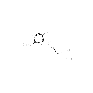 CC(C)(C)Nc1ncc(N)c(NCCCN(C(=O)O)C(C)(C)C)n1